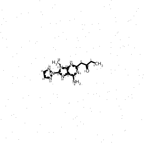 CCC(=O)Cc1nc(N)c2nc(-n3nccn3)n(C)c2n1